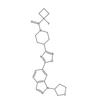 O=C(N1CCC(c2noc(-c3ccc4cnn(C5CCOC5)c4c3)n2)CC1)C1(F)CCC1